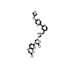 O=C1O[C@@H](CCNCc2ccnc(-c3cnc(OC4COC4)cn3)c2)CN1c1ccc2ncc(=O)oc2n1